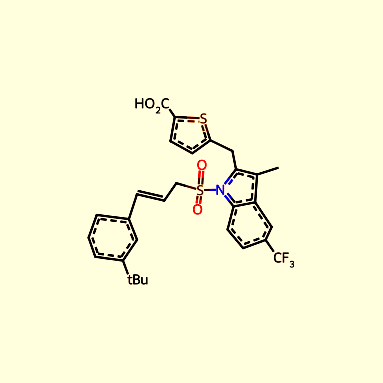 Cc1c(Cc2ccc(C(=O)O)s2)n(S(=O)(=O)CC=Cc2cccc(C(C)(C)C)c2)c2ccc(C(F)(F)F)cc12